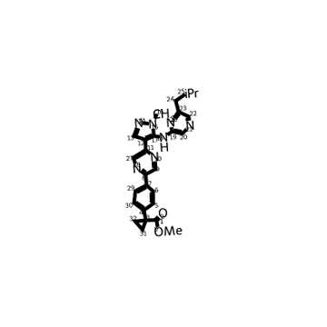 COC(=O)C1(c2ccc(-c3cnc(-c4cnn(C)c4Nc4cncc(CC(C)C)n4)cn3)cc2)CC1